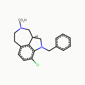 O=C(O)N1CCc2ccc(Cl)c3c2[C@@H](C1)CN3Cc1ccccc1